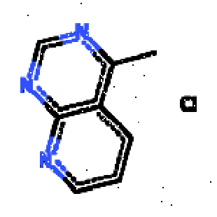 Cc1ncnc2ncccc12.[C]